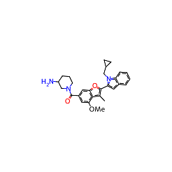 COc1cc(C(=O)N2CCCC(N)C2)cc2oc(-c3cc4ccccc4n3CC3CC3)c(C)c12